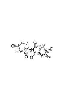 O=C1CC[C@@H](N2C(=O)c3cc(F)c(F)cc3C2=O)C(=O)N1